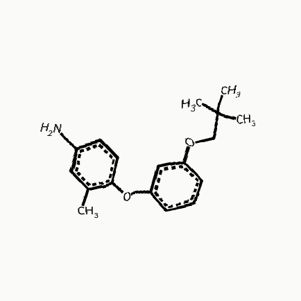 Cc1cc(N)ccc1Oc1cccc(OCC(C)(C)C)c1